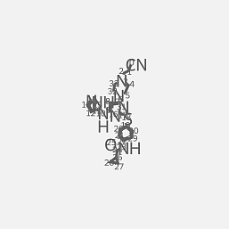 N#CCCN1CCN(c2cc(Nc3ccn[nH]3)nc(Sc3ccc(NC(=O)C4CC4)cc3)n2)CC1